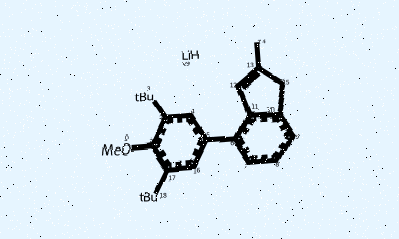 COc1c(C(C)(C)C)cc(-c2cccc3c2C=C(C)[CH]3)cc1C(C)(C)C.[LiH]